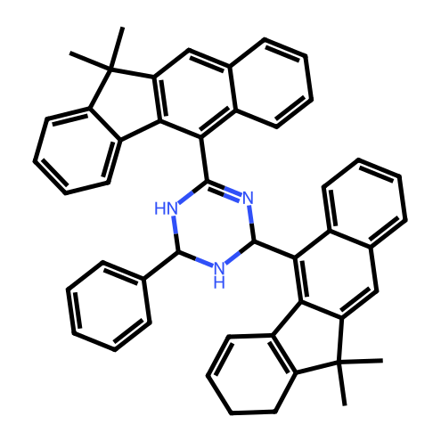 CC1(C)C2=C(C=CCC2)c2c1cc1ccccc1c2C1N=C(c2c3c(cc4ccccc24)C(C)(C)c2ccccc2-3)NC(c2ccccc2)N1